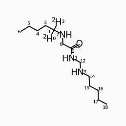 [2H]C([2H])(CCCC)NCC(=O)NCNCCCCC